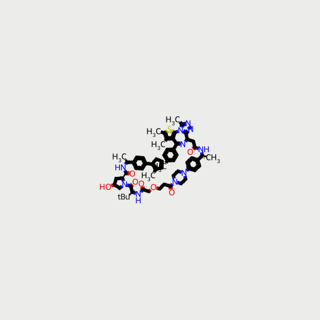 CC1=C(c2ccc([C@H](C)NC(=O)[C@@H]3CC(O)CN3C(=O)[C@@H](NC(=O)COCCC(=O)N3CCN(c4ccc([C@H](C)NC(=O)CC5N=C(c6ccc(C)cc6)c6c(sc(C)c6C)-n6c(C)nnc65)cc4)CC3)C(C)(C)C)cc2)CC=C1